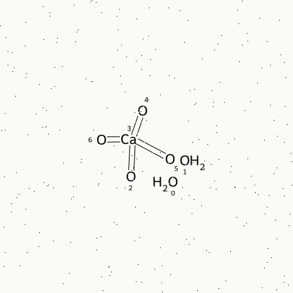 O.O.[O]=[Ca](=[O])(=[O])=[O]